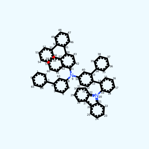 c1ccc(-c2cccc(N(c3ccc(-c4ccccc4-n4c5ccccc5c5ccccc54)c(-c4ccccc4)c3)c3ccc(-c4ccccc4-c4ccccc4)c4ccccc34)c2)cc1